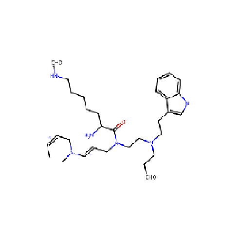 C/C=C\CN(C)/C=C/CN(CCN(CCC=O)CCc1c[nH]c2ccccc12)C(=O)C(N)CCCCCNC=O